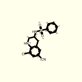 N#Cc1cc(Cl)c2c(c1)CC(NS(=O)(=O)c1ccccc1)CN2